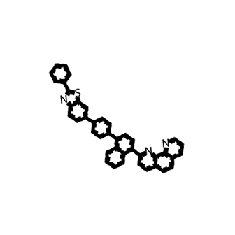 c1ccc(-c2nc3ccc(-c4ccc(-c5ccc(-c6ccc7ccc8cccnc8c7n6)c6ccccc56)cc4)cc3s2)cc1